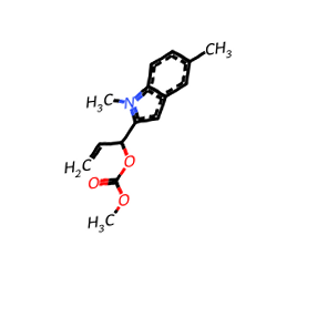 C=CC(OC(=O)OC)c1cc2cc(C)ccc2n1C